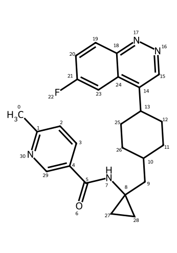 Cc1ccc(C(=O)NC2(CC3CCC(c4cnnc5ccc(F)cc45)CC3)CC2)cn1